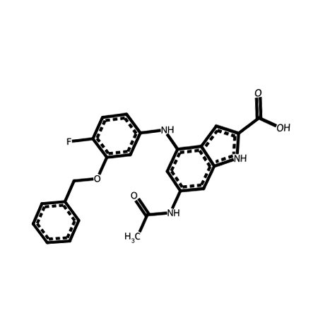 CC(=O)Nc1cc(Nc2ccc(F)c(OCc3ccccc3)c2)c2cc(C(=O)O)[nH]c2c1